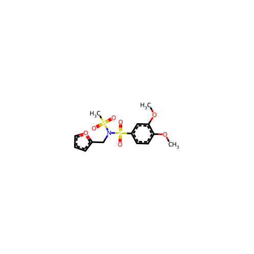 COc1ccc(S(=O)(=O)N(Cc2ccco2)S(C)(=O)=O)cc1OC